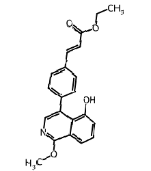 CCOC(=O)C=Cc1ccc(-c2cnc(OC)c3cccc(O)c23)cc1